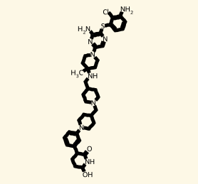 CC1(NCC2CCN(CC3CCN(c4cccc(C5CCC(O)NC5=O)c4)CC3)CC2)CCN(c2cnc(Sc3cccc(N)c3Cl)c(N)n2)CC1